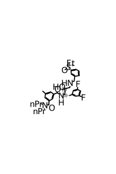 CCCN(CCC)C(=O)c1cc(C)cc(C(=O)N[C@@H](Cc2cc(F)cc(F)c2)[C@H](O)CNCc2cccc([S+]([O-])CC)c2)c1